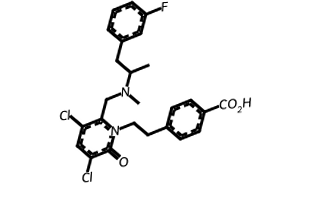 CC(Cc1cccc(F)c1)N(C)Cc1c(Cl)cc(Cl)c(=O)n1CCc1ccc(C(=O)O)cc1